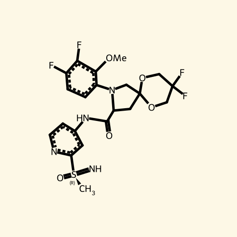 COc1c(N2CC3(CC2C(=O)Nc2ccnc([S@](C)(=N)=O)c2)OCC(F)(F)CO3)ccc(F)c1F